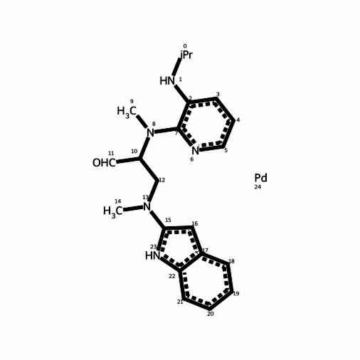 CC(C)Nc1cccnc1N(C)C(C=O)CN(C)c1cc2ccccc2[nH]1.[Pd]